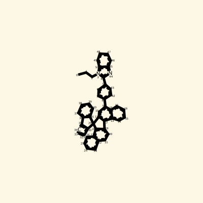 CCCn1c(-c2ccc(-c3cc4c(c5ccccc35)-c3ccc5ccccc5c3C43c4ccccc4-c4ccccc43)cc2)nc2ccccc21